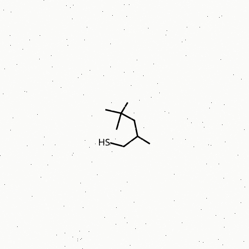 CC(CS)CC(C)(C)C